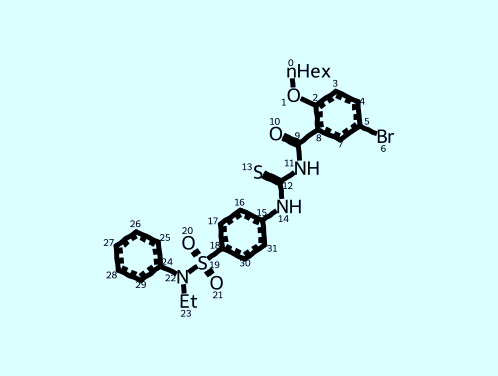 CCCCCCOc1ccc(Br)cc1C(=O)NC(=S)Nc1ccc(S(=O)(=O)N(CC)c2ccccc2)cc1